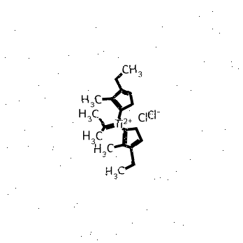 CCC1=CC[C]([Ti+2]([C]2=C(C)C(CC)=CC2)=[C](C)C)=C1C.[Cl-].[Cl-]